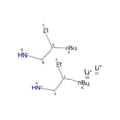 CCCCC(CC)C[NH-].CCCCC(CC)C[NH-].[Li+].[Li+]